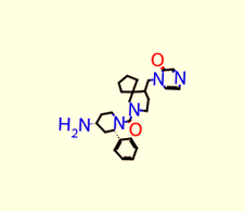 N[C@@H]1CCN(C(=O)N2CCC(Cn3ccncc3=O)C3(CCCC3)C2)[C@H](c2ccccc2)C1